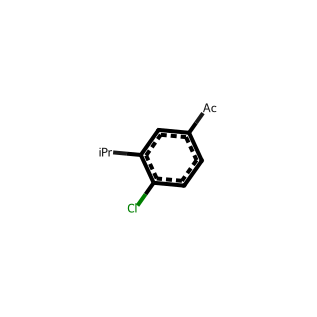 CC(=O)c1ccc(Cl)c(C(C)C)c1